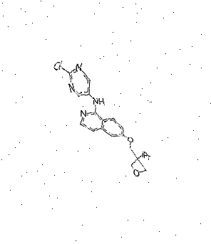 CC(C)C1(COc2ccc3c(Nc4cnc(Cl)nc4)nccc3c2)COC1